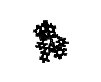 CC1(C)c2ccccc2C2(c3ccccc3-c3ccccc32)c2ccc(-c3cccc(N(c4ccccc4)c4ccc5c(c4)c4ccccc4n5-c4ccccc4)c3)cc21